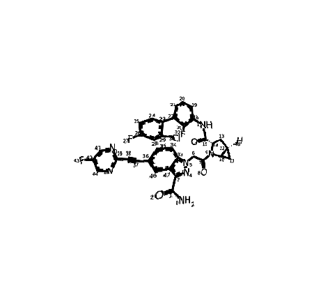 NC(=O)c1nn(CC(=O)N2C3C[C@@H]3C[C@H]2C(=O)Nc2cccc(-c3ccc(F)cc3Cl)c2F)c2ccc(C#Cc3ncc(F)cn3)cc12